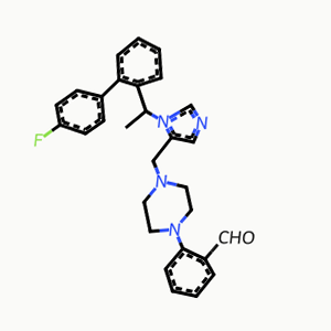 CC(c1ccccc1-c1ccc(F)cc1)n1cncc1CN1CCN(c2ccccc2C=O)CC1